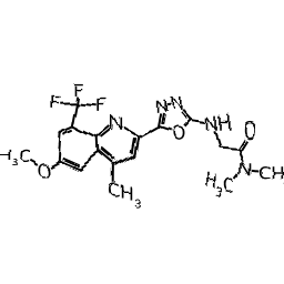 COc1cc(C(F)(F)F)c2nc(-c3nnc(NCC(=O)N(C)C)o3)cc(C)c2c1